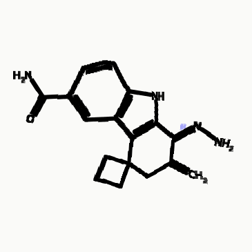 C=C1CC2(CCC2)c2c([nH]c3ccc(C(N)=O)cc23)/C1=N/N